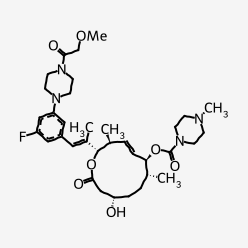 COCC(=O)N1CCN(c2cc(F)cc(/C=C(\C)[C@H]3OC(=O)C[C@@H](O)CC[C@@H](C)[C@H](OC(=O)N4CCN(C)CC4)/C=C/[C@@H]3C)c2)CC1